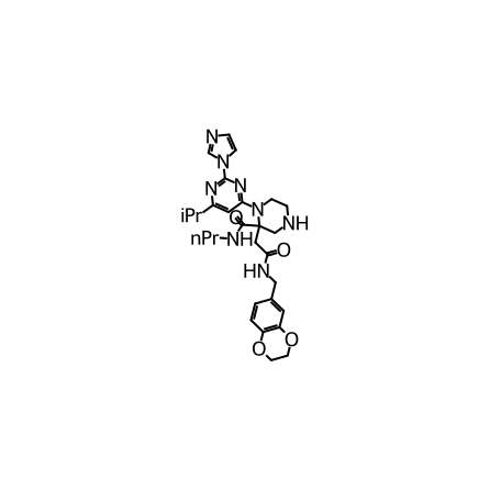 CCCNC(=O)C1(CC(=O)NCc2ccc3c(c2)OCCO3)CNCCN1c1cc(C(C)C)nc(-n2ccnc2)n1